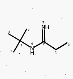 CCC(=N)NC(C)(C)C